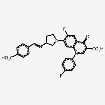 O=C(O)c1ccc(C=NC2CCN(c3cc4c(cc3F)c(=O)c(C(=O)O)cn4-c3ccc(F)cc3)C2)cc1